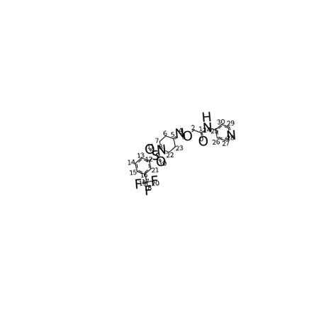 O=C(CON=C1CCN(S(=O)(=O)c2cccc(C(F)(F)F)c2)CC1)Nc1ccncc1